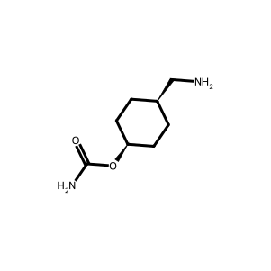 NC[C@H]1CC[C@@H](OC(N)=O)CC1